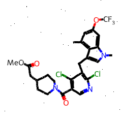 COC(=O)CC1CCN(C(=O)c2cnc(Cl)c(Cc3cn(C)c4cc(OC(F)(F)F)cc(C)c34)c2Cl)CC1